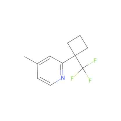 Cc1ccnc(C2(C(F)(F)F)CCC2)c1